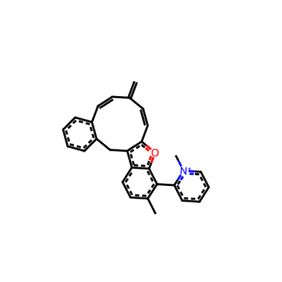 C=C1/C=C\c2ccccc2Cc2c(oc3c(-c4cccc[n+]4C)c(C)ccc23)/C=C\1